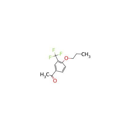 CCCOc1ccc(C(C)=O)cc1C(F)(F)F